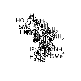 CSCC[C@H](NC(=O)[C@H](CC(C)C)NC(=O)[C@@H](NC(=O)[C@H](CCCNC(=N)N)NC(=O)[C@H](Cc1c[nH]cn1)NC(=O)[C@H](CC(C)C)NC(=O)[C@H](CC(N)=O)NC(=O)[C@H](CO)NC(=O)[C@H](CCC(N)=O)NC(=O)[C@H](CCCCN)NC(=O)[C@H](CCC(=O)O)NC(=O)[C@H](CCSC)NC(=O)[C@H](CO)NC(=O)[C@H](C)NC(=O)[C@@H](N)C(C)C)C(C)C)C(=O)O